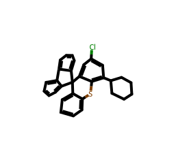 Clc1cc(C2CCCCC2)c2c(c1)C1(c3ccccc3S2)c2ccccc2-c2ccccc21